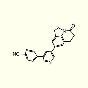 N#Cc1ccc(-c2cncc(-c3cc4c5c(c3)CCN5C(=O)CC4)c2)cc1